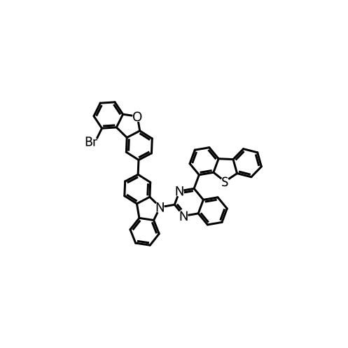 Brc1cccc2oc3ccc(-c4ccc5c6ccccc6n(-c6nc(-c7cccc8c7sc7ccccc78)c7ccccc7n6)c5c4)cc3c12